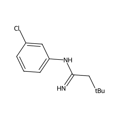 CC(C)(C)CC(=N)Nc1cccc(Cl)c1